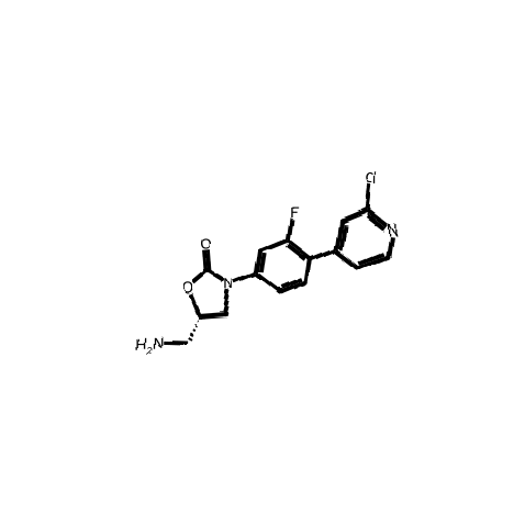 NC[C@H]1CN(c2ccc(-c3ccnc(Cl)c3)c(F)c2)C(=O)O1